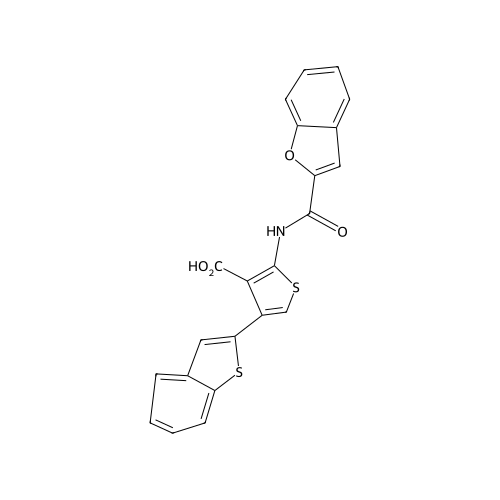 O=C(Nc1scc(-c2cc3ccccc3s2)c1C(=O)O)c1cc2ccccc2o1